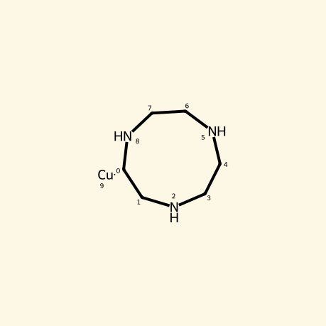 C1CNCCNCCN1.[Cu]